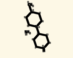 CN1CCN(C2CCNCC2)CC1.N